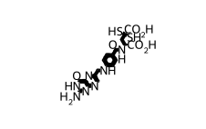 Nc1nc2ncc(CNc3ccc(C(=O)N[C@@H](CC(S)(S)C(=O)O)C(=O)O)cc3)nc2c(=O)[nH]1